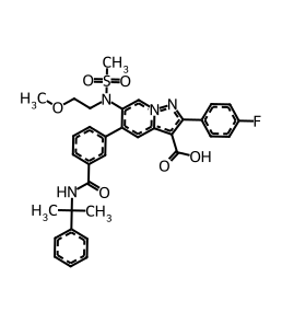 COCCN(c1cn2nc(-c3ccc(F)cc3)c(C(=O)O)c2cc1-c1cccc(C(=O)NC(C)(C)c2ccccc2)c1)S(C)(=O)=O